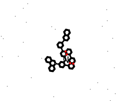 c1ccc(-c2ccccc2N(c2ccc(-c3cccc(-c4ccc5ccccc5c4)c3)cc2)c2cc(-c3cc4ccccc4c4ccccc34)ccc2-c2ccccc2)cc1